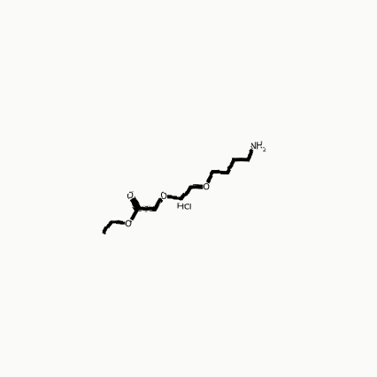 CCOC(=O)COCCOCCCCN.Cl